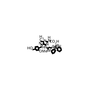 CCCC(CCO[Si](c1ccccc1)(c1ccccc1)C(C)(C)C)Nc1nc(NC(=O)O)nc2c(C)nn(Cc3ccc(CO)cc3OC)c12